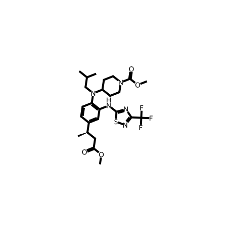 COC(=O)C[C@@H](C)c1ccc(N(CC(C)C)C2CCN(C(=O)OC)CC2)c(Nc2nc(C(F)(F)F)ns2)c1